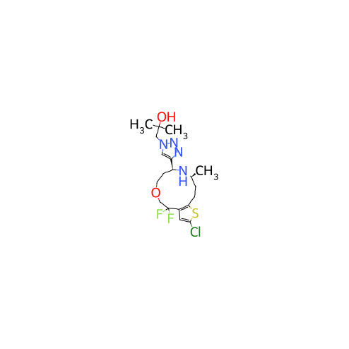 C[C@H]1CCc2sc(Cl)cc2C(F)(F)COCC[C@@H](c2cn(CC(C)(C)O)nn2)N1